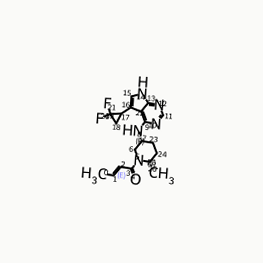 C/C=C/C(=O)N1C[C@H](Nc2ncnc3[nH]cc(C4CC4(F)F)c23)CC[C@@H]1C